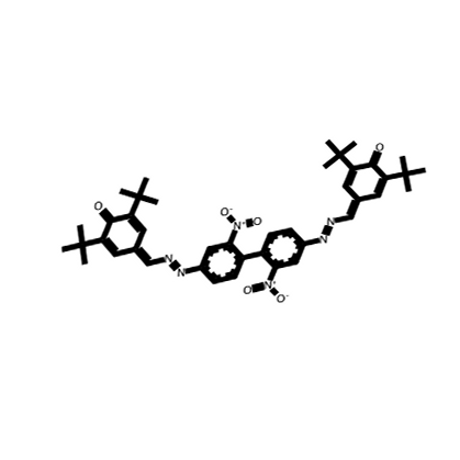 CC(C)(C)C1=CC(=C/N=N/c2ccc(-c3ccc(/N=N/C=C4C=C(C(C)(C)C)C(=O)C(C(C)(C)C)=C4)cc3[N+](=O)[O-])c([N+](=O)[O-])c2)C=C(C(C)(C)C)C1=O